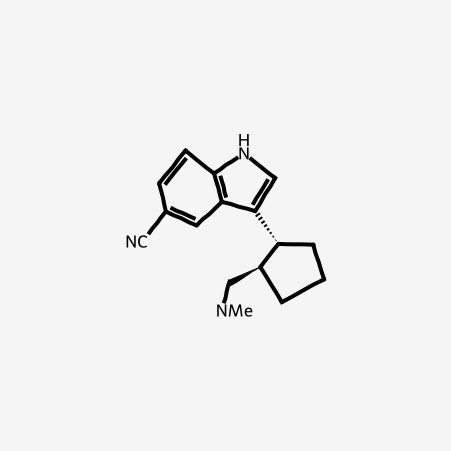 CNC[C@@H]1CCC[C@H]1c1c[nH]c2ccc(C#N)cc12